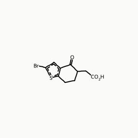 O=C(O)CC1CCc2sc(Br)cc2C1=O